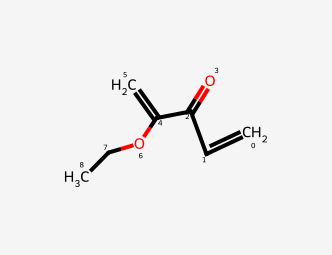 C=CC(=O)C(=C)OCC